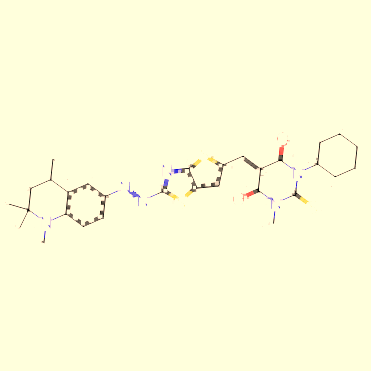 CC1CC(C)(C)N(C)c2ccc(/N=N/c3nc4sc(/C=C5\C(=O)N(C)C(=S)N(C6CCCCC6)C5=O)cc4s3)cc21